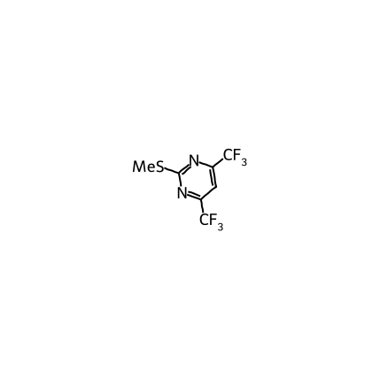 CSc1nc(C(F)(F)F)cc(C(F)(F)F)n1